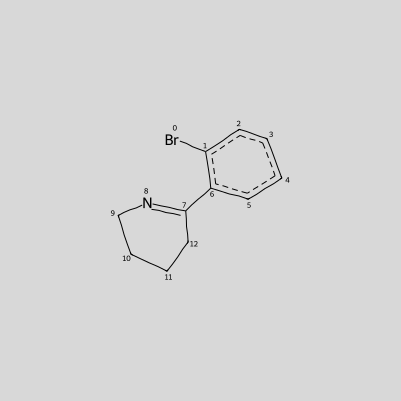 Brc1ccccc1C1=NCCCC1